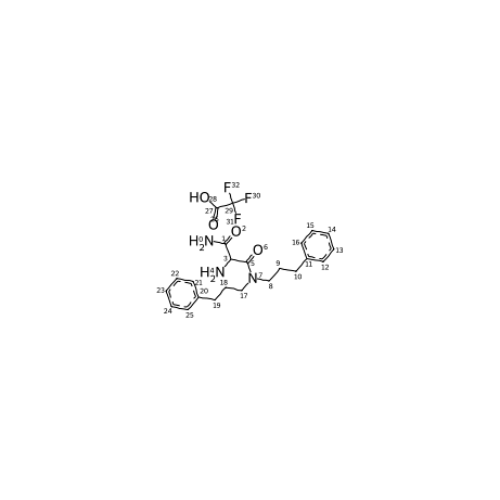 NC(=O)C(N)C(=O)N(CCCc1ccccc1)CCCc1ccccc1.O=C(O)C(F)(F)F